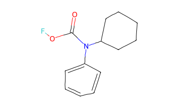 O=C(OF)N(c1ccccc1)C1CCCCC1